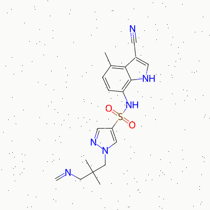 C=NCC(C)(C)Cn1cc(S(=O)(=O)Nc2ccc(C)c3c(C#N)c[nH]c23)cn1